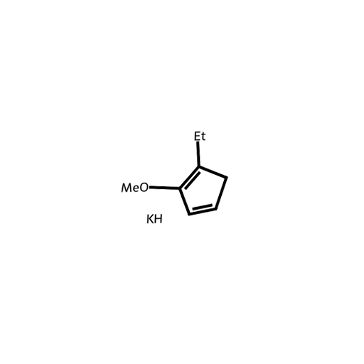 CCC1=C(OC)C=CC1.[KH]